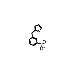 O=[N+]([O-])c1cccc(Cc2cccs2)c1